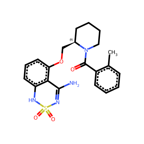 Cc1ccccc1C(=O)N1CCCC[C@@H]1COc1cccc2c1C(N)=NS(=O)(=O)N2